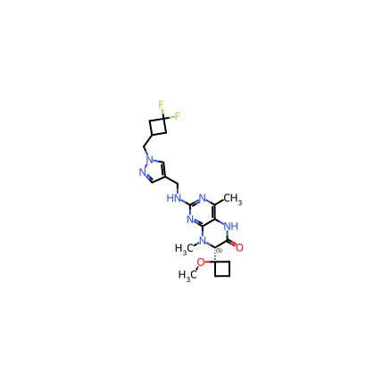 COC1([C@H]2C(=O)Nc3c(C)nc(NCc4cnn(CC5CC(F)(F)C5)c4)nc3N2C)CCC1